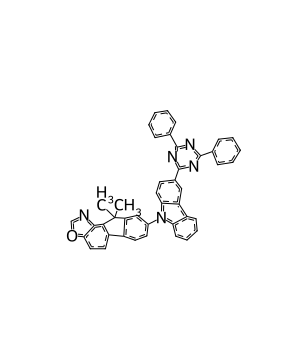 CC1(C)c2cc(-n3c4ccccc4c4cc(-c5nc(-c6ccccc6)nc(-c6ccccc6)n5)ccc43)ccc2-c2ccc3ocnc3c21